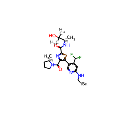 C[C@H](NC(=O)c1nc(C(=O)N2CCC[C@@H]2C)c(-c2cnc(NCC(C)(C)C)cc2C(F)F)s1)C(C)(C)O